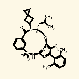 Cc1cccc(C)c1-c1nc2nc(c1C)OC[C@@H](CC(C)C)N(C1CC3(CC3)C1)C(=O)c1cccc(c1)S(=O)(=O)N2